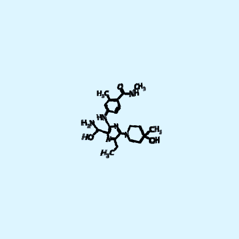 CCc1nc(C(N)O)c(Nc2ccc(C(=O)NC)c(C)c2)nc1N1CCC(C)(O)CC1